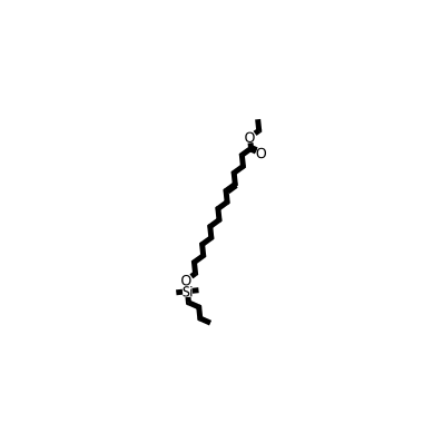 CCCC[Si](C)(C)OCCCCCCCCCC=CCCCC(=O)OCC